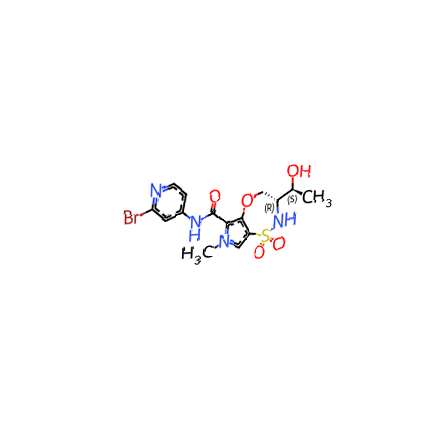 C[C@H](O)[C@H]1COc2c(cn(C)c2C(=O)Nc2ccnc(Br)c2)S(=O)(=O)N1